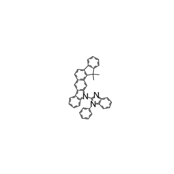 CC1(C)c2ccccc2-c2ccc3cc4c5ccccc5n(-c5nc6ccccc6n5-c5ccccc5)c4cc3c21